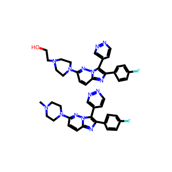 CN1CCN(c2ccc3nc(-c4ccc(F)cc4)c(-c4ccnnc4)n3n2)CC1.OCCN1CCN(c2ccc3nc(-c4ccc(F)cc4)c(-c4ccnnc4)n3n2)CC1